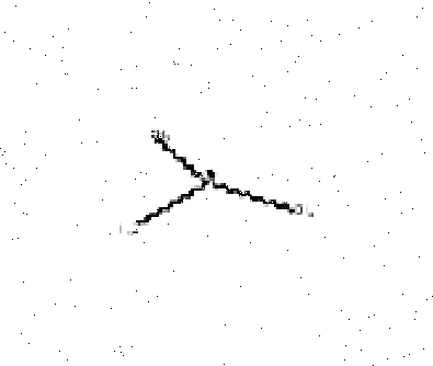 CCCCCCCCCCCCCCn1cc[n+](CCCCCCCCCC)c1CCCCCCCCCCCCC